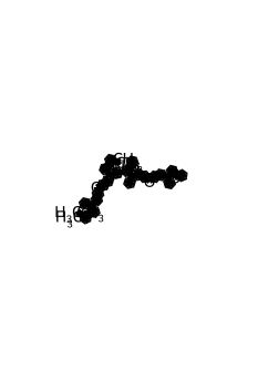 CC(C)(C)c1cccc2c1oc1c(N(c3ccccc3)c3ccc4cc5c(cc4c3)oc3cc4cc(N(c6ccc(-c7cc(N(c8ccccc8)c8ccc9cc%10c(cc9c8)oc8cc9cc(N(c%11ccccc%11)c%11cccc%12c%11oc%11ccccc%11%12)ccc9cc8%10)c8oc9ccccc9c8c7)cc6)c6cccc7c6oc6c(C(C)(C)C)cccc67)ccc4cc35)cccc12